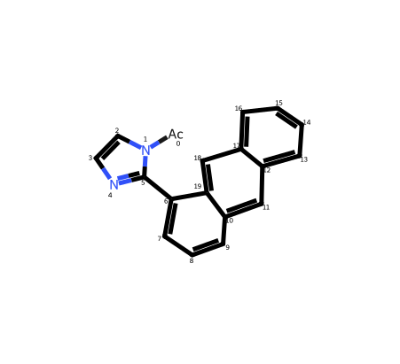 CC(=O)n1ccnc1-c1cccc2cc3ccccc3cc12